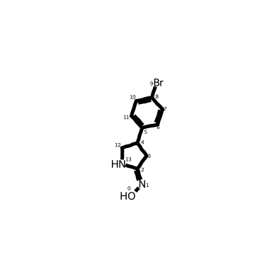 O/N=C1/CC(c2ccc(Br)cc2)CN1